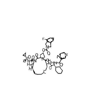 O=C(N[C@H](C(=O)N[C@H]1CCCCC/C=C\[C@@H]2C[C@@]2(C(=O)NS(=O)(=O)C2CC2)NC(=O)C2C[C@@H](OC(=O)N3Cc4cccc(F)c4C3)CN2C1=O)C1CCCCC1)c1cnccn1